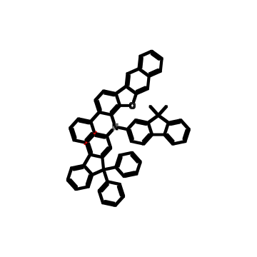 CC1(C)c2ccccc2-c2ccc(N(c3ccc4c(c3)C(c3ccccc3)(c3ccccc3)c3ccccc3-4)c3c(-c4ccccc4)ccc4c3oc3cc5ccccc5cc34)cc21